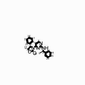 C[C@@H](Nc1nccc(N2C(=O)O[C@H](C)[C@@H]2c2ccccc2)n1)c1ccccc1